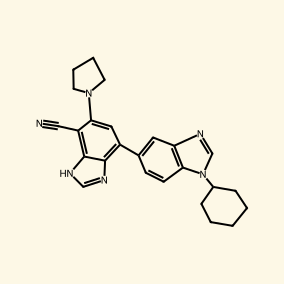 N#Cc1c(N2CCCC2)cc(-c2ccc3c(c2)ncn3C2CCCCC2)c2nc[nH]c12